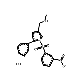 CNCc1cc(-c2ccccc2)n(S(=O)(=O)c2cccc([N+](=O)[O-])c2)c1.Cl